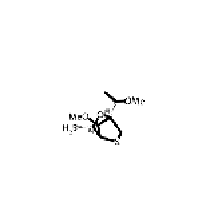 B[C@@H]1O[C@@]2(C(C)OC)CSC1C2OC